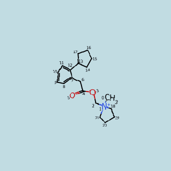 C[N+]1(COC(=O)Cc2ccccc2C2CCCC2)CCCC1